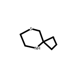 [CH]1CCC12CSCCN2